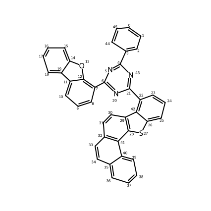 c1ccc(-c2nc(-c3cccc4c3oc3ccccc34)nc(-c3cccc4sc5c(ccc6ccc7ccccc7c65)c34)n2)cc1